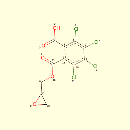 O=C(O)c1c(Cl)c(Cl)c(Cl)c(Cl)c1C(=O)OCC1CO1